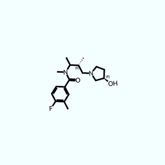 Cc1cc(C(=O)N(C)C(C)[C@H](C)CN2CC[C@@H](O)C2)ccc1F